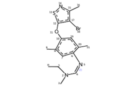 CCN(C)/C=N\c1cc(C)c(Oc2snc(C)c2Br)cc1C